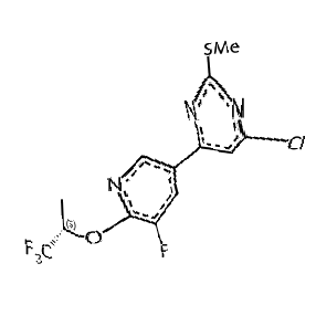 CSc1nc(Cl)cc(-c2cnc(O[C@@H](C)C(F)(F)F)c(F)c2)n1